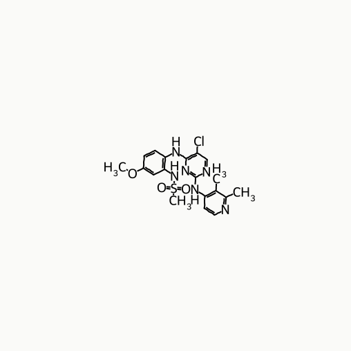 COc1ccc(Nc2nc(Nc3ccnc(C)c3C)ncc2Cl)c(NS(C)(=O)=O)c1